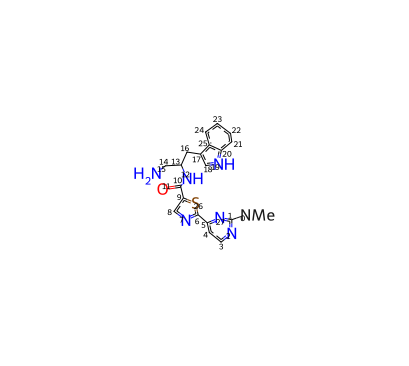 CNc1nccc(-c2ncc(C(=O)NC(CN)Cc3c[nH]c4ccccc34)s2)n1